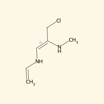 C=CN/C=C(/CCl)NC